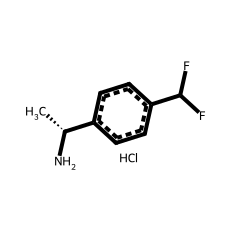 C[C@@H](N)c1ccc(C(F)F)cc1.Cl